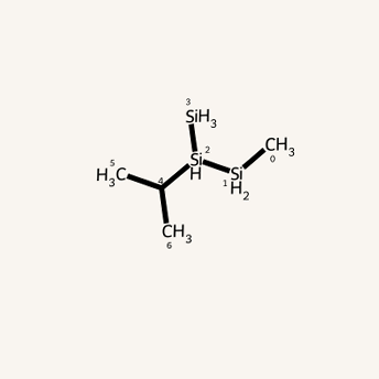 C[SiH2][SiH]([SiH3])C(C)C